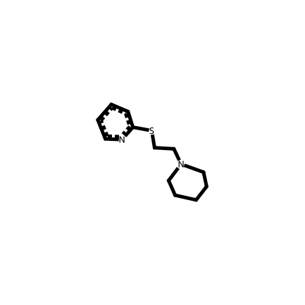 c1ccc(SCCN2CCCCC2)nc1